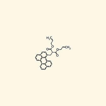 C=CCOC(=O)C(Cc1ccc2cccc3c4cccc5cccc(c1c23)c54)C(=O)OCC=C